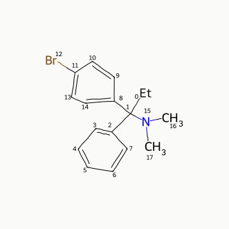 CCC(c1ccccc1)(c1ccc(Br)cc1)N(C)C